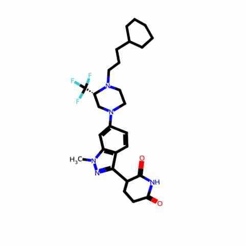 Cn1nc(C2CCC(=O)NC2=O)c2ccc(N3CCN(CCCC4CCCCC4)[C@@H](C(F)(F)F)C3)cc21